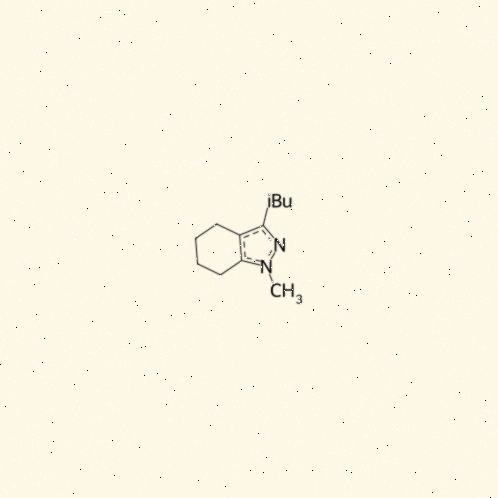 CCC(C)c1nn(C)c2c1CCCC2